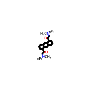 CCCN(C)CC(=O)c1cccc2cc3c(C(=O)CN(C)CCC)cccc3cc12